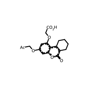 CC(=O)COc1cc(OCC(=O)O)c2c3c(c(=O)oc2c1)CCCC3